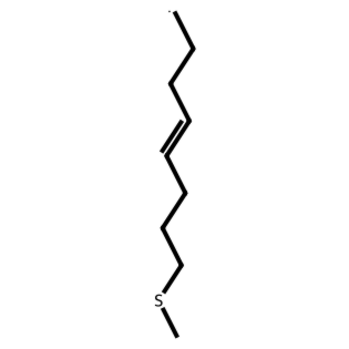 [CH2]CCC=CCCCSC